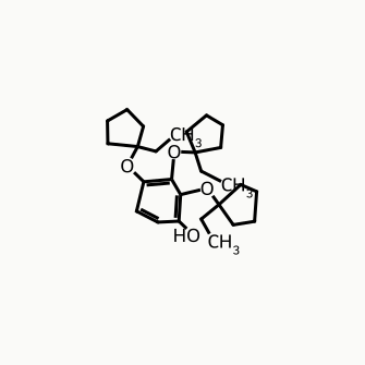 CCC1(Oc2ccc(O)c(OC3(CC)CCCC3)c2OC2(CC)CCCC2)CCCC1